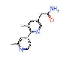 Cc1cc(-c2ncc(CC(N)=O)cc2C)ccn1